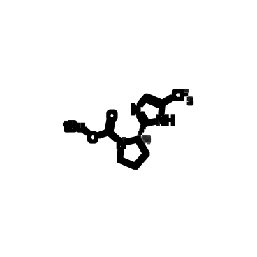 CC(C)(C)OC(=O)N1CCC[C@H]1c1ncc(C(F)(F)F)[nH]1